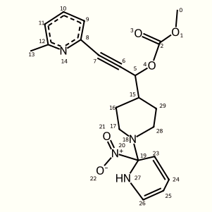 COC(=O)OC(C#Cc1cccc(C)n1)C1CCN(C2([N+](=O)[O-])C=CC=CN2)CC1